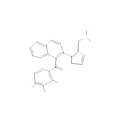 Cc1ccc(C(=N)c2c(C3=C(CN(C)C)C=CC3)ccc3ccccc23)c(C)c1C